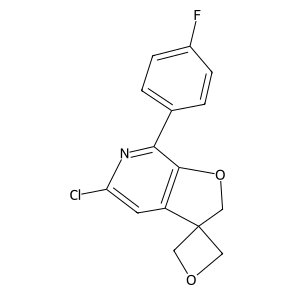 Fc1ccc(-c2nc(Cl)cc3c2OCC32COC2)cc1